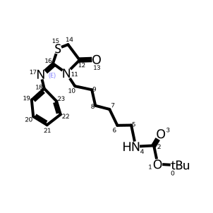 CC(C)(C)OC(=O)NCCCCCCN1C(=O)CS/C1=N/c1ccccc1